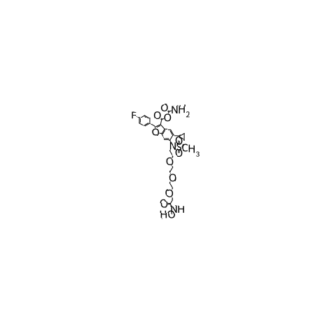 CS(=O)(=O)N(CCOCCOCCOCC(=O)NO)c1cc2oc(-c3ccc(F)cc3)c(C(=O)OC(N)=O)c2cc1C1CC1